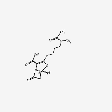 CC(=O)N(C)CCCCC1=C(C(=O)O)N2C(=O)C[C@H]2S1